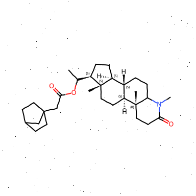 CC(OC(=O)CC12CCC(CC1)C2)[C@H]1CC[C@H]2[C@@H]3CCC4N(C)C(=O)CC[C@]4(C)[C@H]3CC[C@]12C